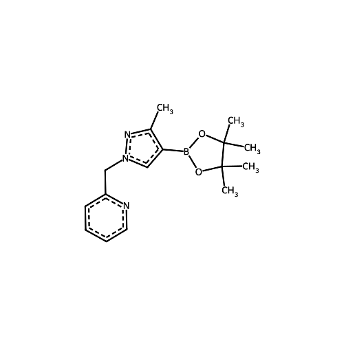 Cc1nn(Cc2ccccn2)cc1B1OC(C)(C)C(C)(C)O1